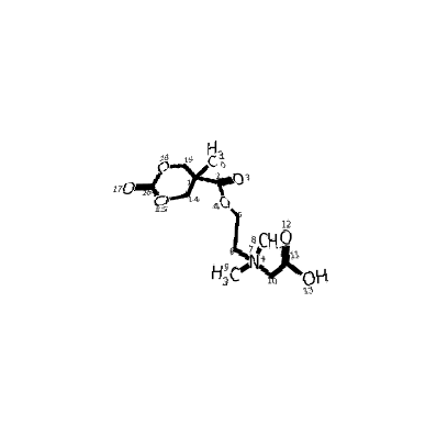 CC1(C(=O)OCC[N+](C)(C)CC(=O)O)COC(=O)OC1